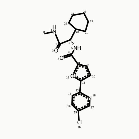 CNC(=O)[C@@H](NC(=O)c1ccc(-c2ccc(Cl)cn2)o1)C1CCCCC1